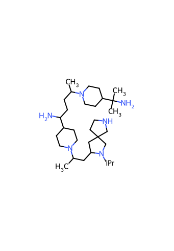 CC(CCC(N)C1CCN(C(C)CC2CC3(CCNC3)CN2C(C)C)CC1)N1CCC(C(C)(C)N)CC1